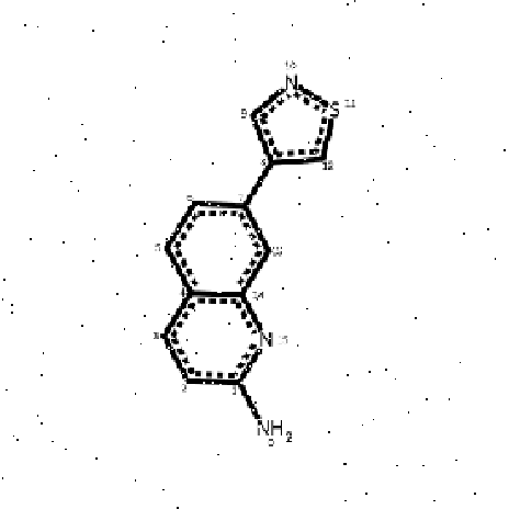 Nc1ccc2ccc(-c3cnsc3)cc2n1